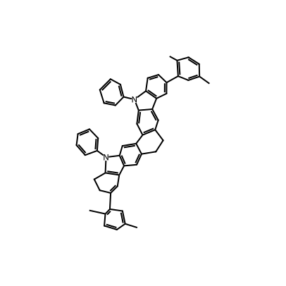 Cc1ccc(C)c(C2=Cc3c(n(-c4ccccc4)c4cc5c(cc34)CCc3cc4c6cc(-c7cc(C)ccc7C)ccc6n(-c6ccccc6)c4cc3-5)CC2)c1